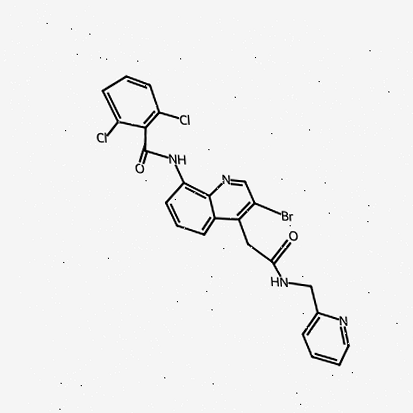 O=C(Cc1c(Br)cnc2c(NC(=O)c3c(Cl)cccc3Cl)cccc12)NCc1ccccn1